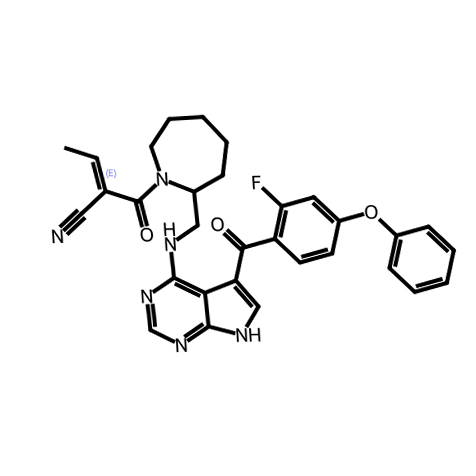 C/C=C(\C#N)C(=O)N1CCCCCC1CNc1ncnc2[nH]cc(C(=O)c3ccc(Oc4ccccc4)cc3F)c12